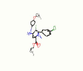 C=CCOC(=O)c1cc(Nc2ccc(OC)cc2)c(F)c(-c2ccc(Cl)cc2)n1